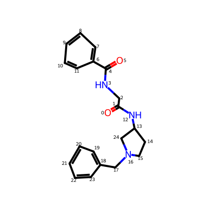 O=C(CNC(=O)c1ccccc1)NC1CCN(Cc2ccccc2)C1